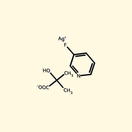 CC(C)(O)C(=O)[O-].Fc1cccnc1.[Ag+]